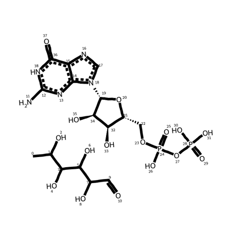 CC(O)C(O)C(O)C(O)C=O.Nc1nc2c(ncn2[C@@H]2O[C@H](COP(=O)(O)OP(=O)(O)O)[C@@H](O)[C@H]2O)c(=O)[nH]1